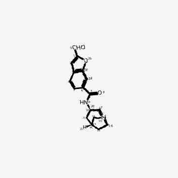 O=Cc1cc2ccc(C(=O)N[C@@H]3C[C@H]4CCN(C4)C3)cc2o1